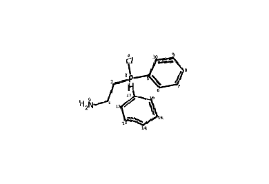 NCC[PH](Cl)(c1ccccc1)c1ccccc1